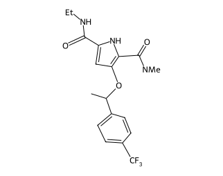 CCNC(=O)c1cc(OC(C)c2ccc(C(F)(F)F)cc2)c(C(=O)NC)[nH]1